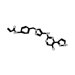 C=CC(=O)Nc1ccc(Cn2cc(Nc3ncc(Cl)c(-c4cc[nH]n4)n3)cn2)cc1